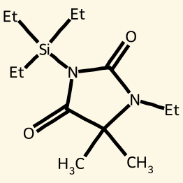 CCN1C(=O)N([Si](CC)(CC)CC)C(=O)C1(C)C